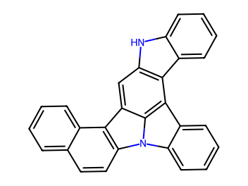 c1ccc2c(c1)ccc1c2c2cc3[nH]c4ccccc4c3c3c4ccccc4n1c23